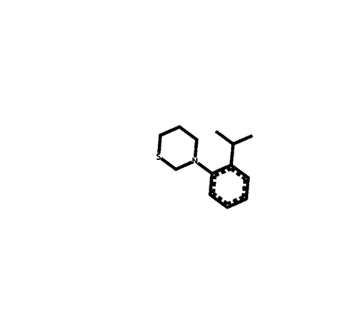 CC(C)c1ccccc1N1CCCSC1